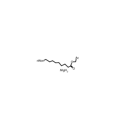 CCCCCCCCCCCCCCCCCC(=O)OCC(C)=O.[MgH2]